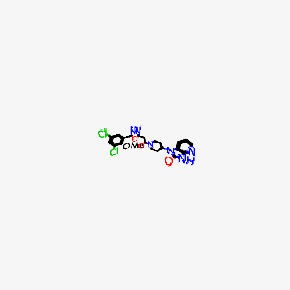 COc1c(Cl)cc(Cl)cc1-c1nnc(CC(=O)N2CCC(n3c(=O)[nH]c4ncccc43)CC2)o1